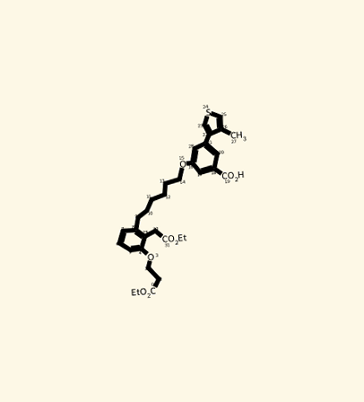 CCOC(=O)CCOc1cccc(CCCCCCOc2cc(C(=O)O)cc(-c3cscc3C)c2)c1CC(=O)OCC